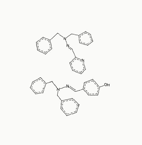 C(=NN(Cc1ccccc1)Cc1ccccc1)c1ccccn1.Oc1ccc(C=NN(Cc2ccccc2)Cc2ccccc2)cc1